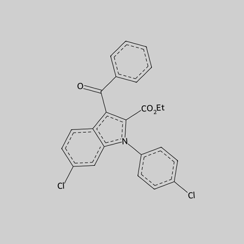 CCOC(=O)c1c(C(=O)c2ccccc2)c2ccc(Cl)cc2n1-c1ccc(Cl)cc1